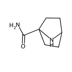 NC(=O)C12CCC(CC1)N2